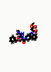 COC(=O)CC(=O)N1CC2(CCN(C(=O)[C@@H](COCc3ccccc3)NC(=O)CN(C)C)CC2)c2ccccc21